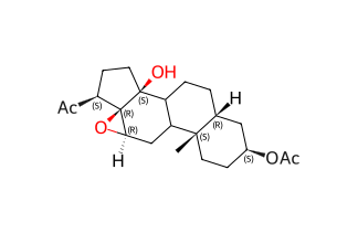 CC(=O)O[C@H]1CC[C@]2(C)C3C[C@H]4O[C@]45[C@@H](C(C)=O)CC[C@]5(O)C3CC[C@@H]2C1